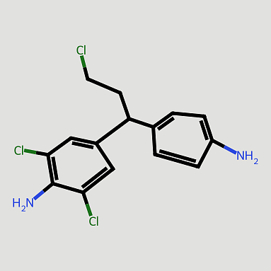 Nc1ccc(C(CCCl)c2cc(Cl)c(N)c(Cl)c2)cc1